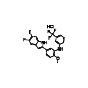 COc1ccc(-c2cc3cc(F)c(F)cc3[nH]2)cc1Nc1cccc(C(F)(F)F)c1.Cl